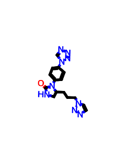 O=C1NCC(CCCn2ccnn2)N1c1ccc(-n2cnnn2)cc1